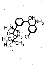 CC(C)(C)OC(=O)C(N)(N)c1cccc(C(O)c2cc(Cl)ccc2N)c1